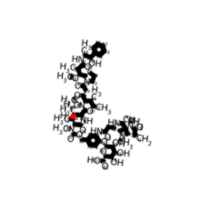 C=CC(=O)N(C)C1(C(=C)NCCC(=O)Nc2cc(COC(=O)N(C)[C@H](C(=O)N[C@H](C(=O)N(C)[C@@H]([C@@H](C)CC)[C@@H](CC(=O)N3CCC[C@H]3[C@H](OC)[C@@H](C)C(=O)N[C@H](C)[C@@H](O)c3ccccc3)OC)C(C)C)C(C)C)ccc2O[C@@H]2O[C@H](C(=O)O)[C@@H](O)[C@H](O)[C@H]2O)CN(C)C1